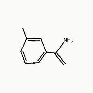 C=C(N)c1cccc(C)c1